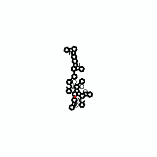 Cc1ccccc1N(c1cc2c(oc3ccccc32)c2c1-c1cccc3c1C2c1c-3c(N(c2ccccc2C)c2cccc3c2oc2ccc(-c4ccc5c6cc7cc8c(cc7cc6n6c7ccccc7c4c56)C4=CC=CC5c6ccccc6N8C45)cc23)cc2c1oc1ccccc12)c1cccc2c1oc1ccccc12